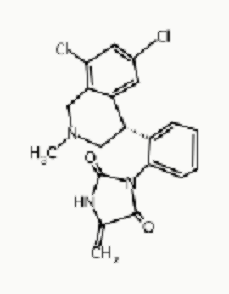 C=C1NC(=O)N(c2ccccc2[C@@H]2CN(C)Cc3c(Cl)cc(Cl)cc32)C1=O